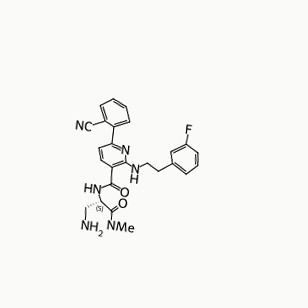 CNC(=O)[C@H](CN)NC(=O)c1ccc(-c2ccccc2C#N)nc1NCCc1cccc(F)c1